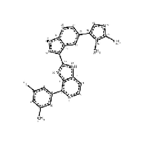 Cc1cc(F)cc(-c2nccc3[nH]c(-c4n[nH]c5ncc(-c6cnc(C)n6C)cc45)nc23)c1